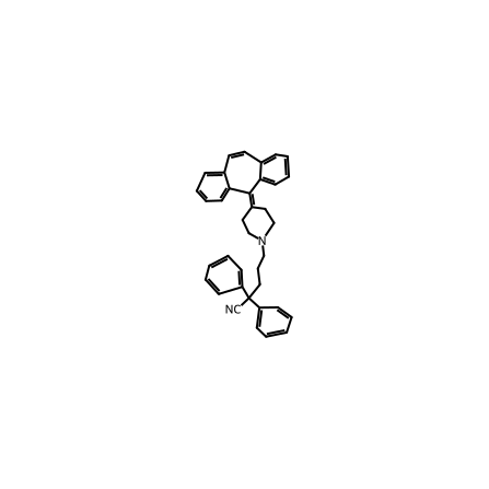 N#CC(CCCN1CCC(=C2c3ccccc3C=Cc3ccccc32)CC1)(c1ccccc1)c1ccccc1